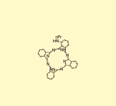 CCCNc1cccc2c3nc4nc(nc5[nH]c(nc6nc(nc([nH]3)c12)-c1ccccc1-6)c1ccccc51)-c1ccccc1-4